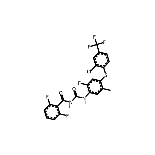 Cc1cc(NC(=O)NC(=O)c2c(F)cccc2F)c(F)cc1Sc1ccc(C(F)(F)F)cc1Cl